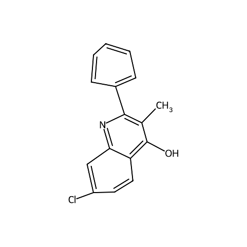 Cc1c(-c2ccccc2)nc2cc(Cl)ccc2c1O